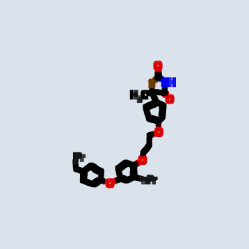 CCCc1cc(Oc2ccc(CC(C)C)cc2)ccc1OCCCOc1ccc(C2(C)SC(=O)NC2=O)cc1